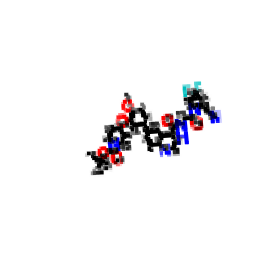 COc1ccc(-c2ccc3nccc(C(=O)NCC(=O)N4CC(F)(F)C[C@H]4C#N)c3c2)cc1OC1CCN(C(=O)OC(C)(C)C)CC1